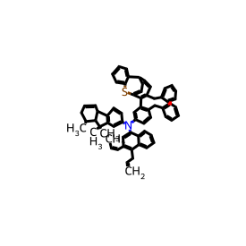 C=CCc1c(/C=C\C)cc(N(c2ccc(Cc3ccccc3)c(/C3=C(Cc4ccccc4)/C=C\C4CC=C3Sc3ccccc34)c2)c2ccc3c(c2)C(C)(C)C2C(C)CC=CC32)c2ccccc12